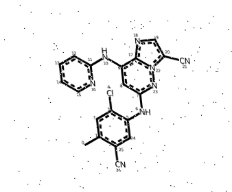 Cc1cc(Cl)c(Nc2cc(Nc3ccccn3)c3ncc(C#N)n3n2)cc1C#N